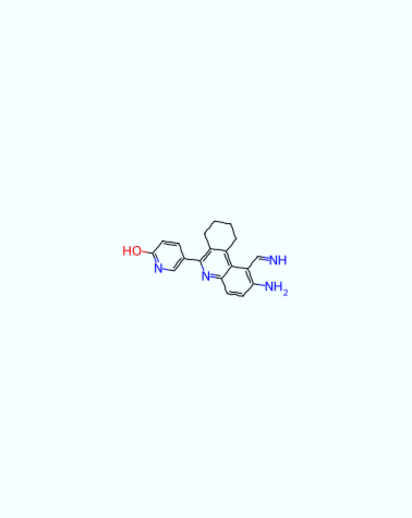 N=Cc1c(N)ccc2nc(-c3ccc(O)nc3)c3c(c12)CCCC3